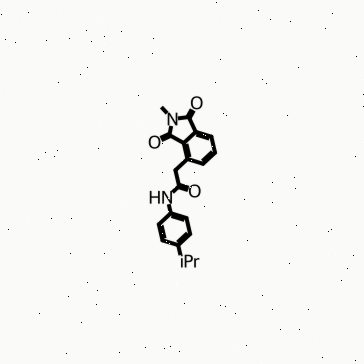 CC(C)c1ccc(NC(=O)Cc2cccc3c2C(=O)N(C)C3=O)cc1